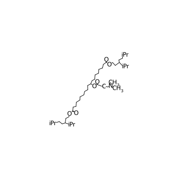 CC(C)CCC(CCOC(=O)CCCCCCCCCC(CCCCCCCC(=O)OCCC(CCC(C)C)C(C)C)OC(=O)CCCN(C)C)C(C)C